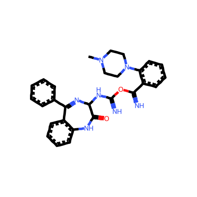 CN1CCN(c2ccccc2C(=N)OC(=N)NC2N=C(c3ccccc3)c3ccccc3NC2=O)CC1